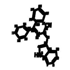 N#CC(Cc1c[nH]c2ccccc12)N=C(c1ccccc1)c1ccccc1